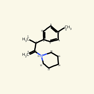 C=C(C(C)c1ccc(C)cc1)N1CCCCC1